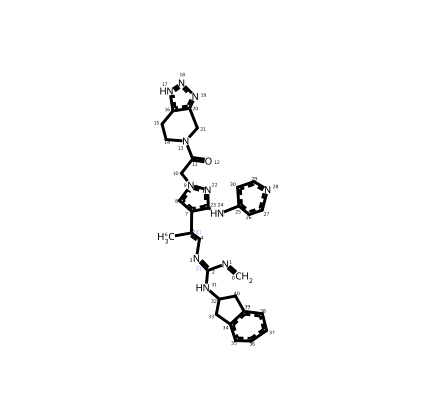 C=N/C(=N\C=C(/C)c1cn(CC(=O)N2CCc3[nH]nnc3C2)nc1Nc1ccncc1)NC1Cc2ccccc2C1